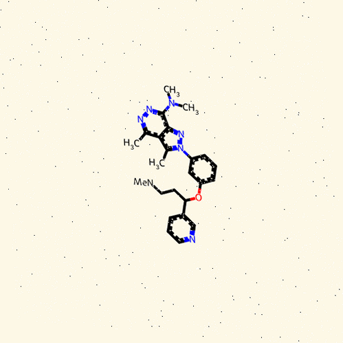 CNCCC(Oc1cccc(-n2nc3c(N(C)C)nnc(C)c3c2C)c1)c1cccnc1